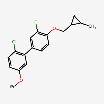 CC(C)Oc1ccc(Cl)c(-c2ccc(OCC3CC3C)c(F)c2)c1